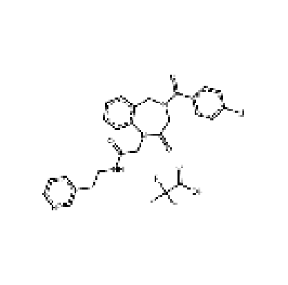 O=C(CN1C(=O)CN(C(=O)c2ccc(Cl)cc2)Cc2ccccc21)NCCc1cccnc1.O=C(O)C(F)(F)F